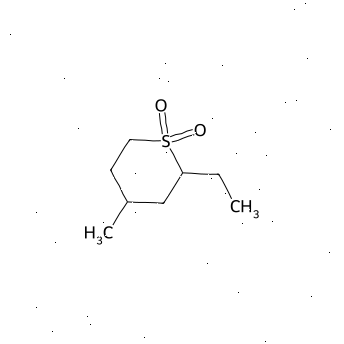 CCC1CC(C)CCS1(=O)=O